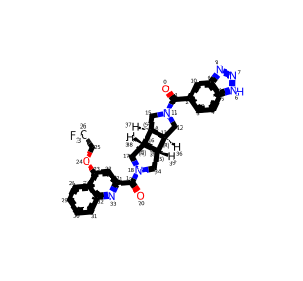 O=C(c1ccc2[nH]nnc2c1)N1C[C@@H]2[C@H](C1)[C@H]1CN(C(=O)c3cc(OCC(F)(F)F)c4ccccc4n3)C[C@@H]21